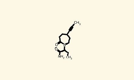 CC#CC1CCC(=O)N(C(CC)C(N)=O)CC1